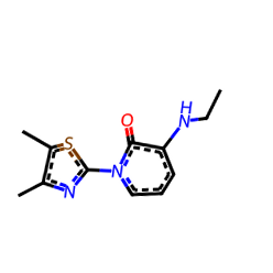 CCNc1cccn(-c2nc(C)c(C)s2)c1=O